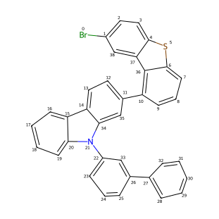 Brc1ccc2sc3cccc(-c4ccc5c6ccccc6n(-c6cccc(-c7ccccc7)c6)c5c4)c3c2c1